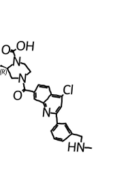 CNCc1cccc(-c2cc(Cl)c3ccc(C(=O)N4CCN(C(=O)O)[C@H](C)C4)cc3n2)c1